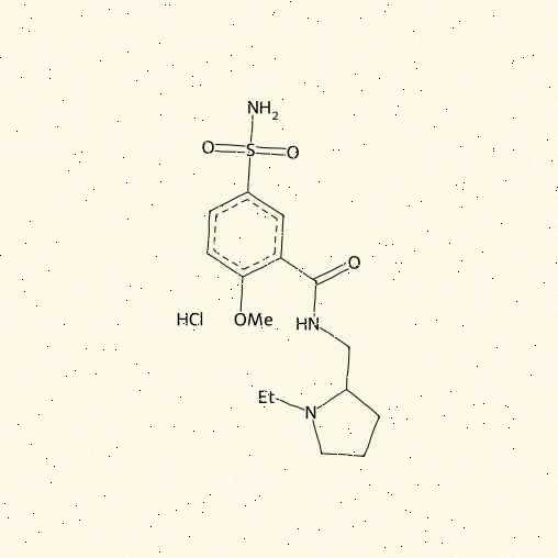 CCN1CCCC1CNC(=O)c1cc(S(N)(=O)=O)ccc1OC.Cl